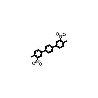 Cc1ccc(-c2ccc(-c3ccc(C)c([N+](=O)[O-])c3)cc2)cc1[N+](=O)[O-]